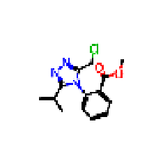 COC(=O)c1ccccc1-n1c(CCl)nnc1C(C)C